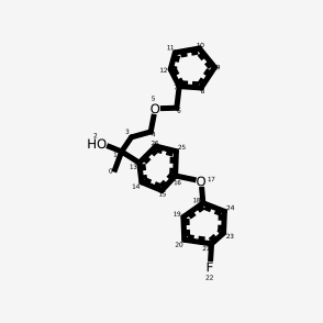 CC(O)(CCOCc1ccccc1)c1ccc(Oc2ccc(F)cc2)cc1